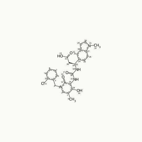 Cc1cn(Cc2ccccc2Cl)c(=O)c(NC(=O)N[C@@H](CC(=O)O)c2ccc3c(ccn3C)c2)c1O